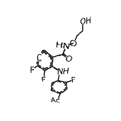 CC(=O)c1ccc(Nc2c(C(=O)NOCCO)ccc(F)c2F)c(F)c1